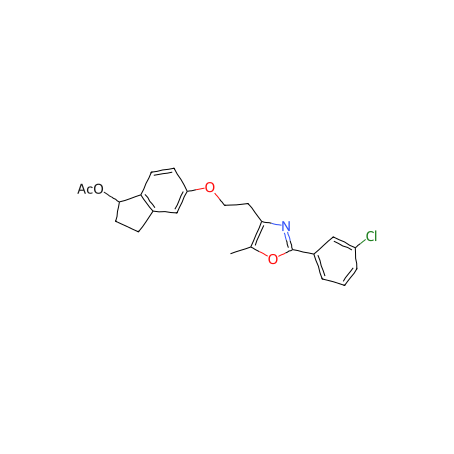 CC(=O)OC1CCc2cc(OCCc3nc(-c4cccc(Cl)c4)oc3C)ccc21